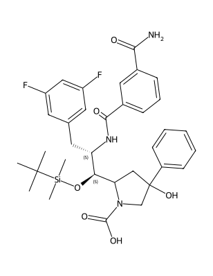 CC(C)(C)[Si](C)(C)O[C@H](C1CC(O)(c2ccccc2)CN1C(=O)O)[C@H](Cc1cc(F)cc(F)c1)NC(=O)c1cccc(C(N)=O)c1